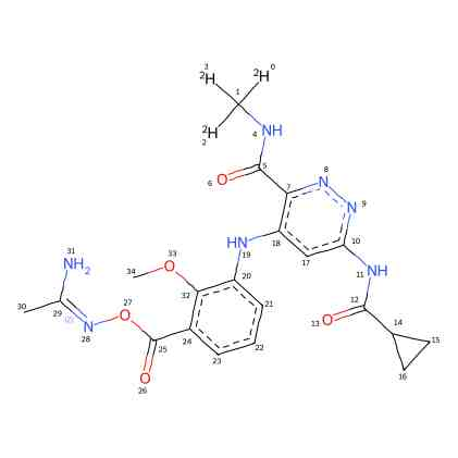 [2H]C([2H])([2H])NC(=O)c1nnc(NC(=O)C2CC2)cc1Nc1cccc(C(=O)O/N=C(/C)N)c1OC